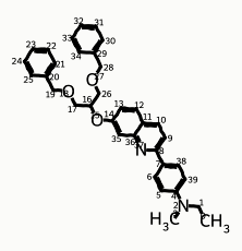 CCN(C)c1ccc(-c2ccc3ccc(OC(COCc4ccccc4)COCc4ccccc4)cc3n2)cc1